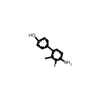 Cc1c(-c2ccc(O)cc2)ccc(N)c1F